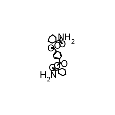 NC(=O)C1(OC(=O)c2ccc(C(=O)OC3(C(N)=O)CCCCC3)cc2)CCCCC1